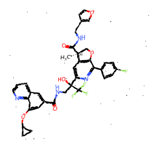 C[C@]1(C(=O)NCc2ccoc2)COc2c1cc(C(O)(CNC(=O)c1cc(OC3CC3)c3ncccc3c1)C(F)(F)F)nc2-c1ccc(F)cc1